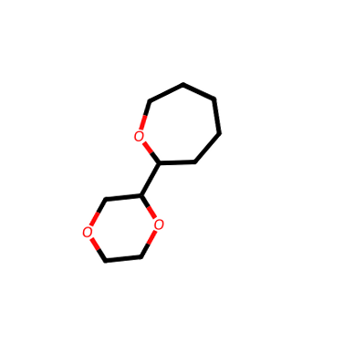 C1CCOC([C]2COCCO2)CC1